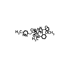 COc1cccc(OC)c1-n1c(NS(=O)(=O)C(C)Cc2ccc(C)nn2)nnc1-c1ccco1